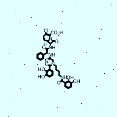 O=C(CN(CCCCNC(=O)c1cccc(O)c1O)C(=O)c1cccc(O)c1O)N[C@@H](C(=O)N[C@@H]1C(=O)N2C(C(=O)O)=C(Cl)CC[C@H]12)c1ccccc1